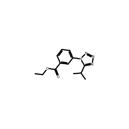 CCOC(=O)c1cccc(-n2nnnc2C(C)C)c1